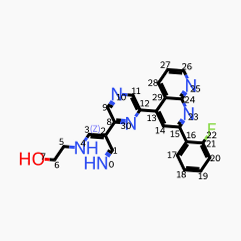 N=C/C(=C\NCCO)c1cncc(-c2cc(-c3ccccc3F)nc3ncccc23)n1